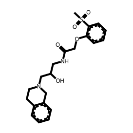 CS(=O)(=O)c1ccccc1OCC(=O)NCC(O)CN1CCc2ccccc2C1